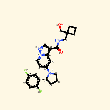 O=C(NCC1(CO)CCC1)c1cnn2ccc(N3CCC[C@@H]3c3cc(F)ccc3F)cc12